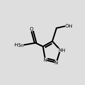 O=[C]([SnH])c1nn[nH]c1CO